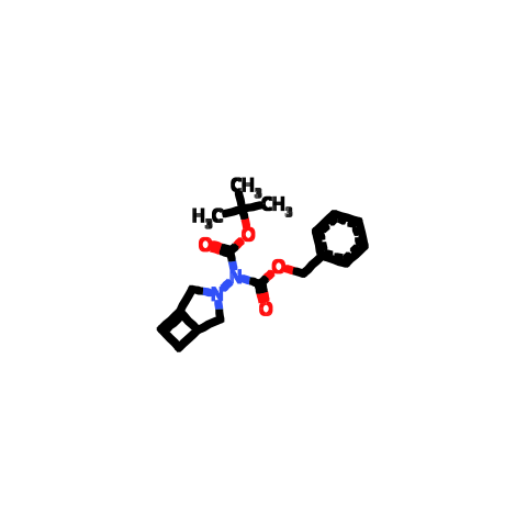 CC(C)(C)OC(=O)N(C(=O)OCc1ccccc1)N1CC2=CCC2C1